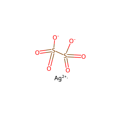 O=S(=O)([O-])S(=O)(=O)[O-].[Ag+2]